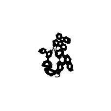 C1=CCCC(c2cc(-c3ccccc3)cc(N(C3=CC=C(c4ccc5ccccc5c4-c4ccc5c(c4)sc4ccccc45)CC3)c3cccc4c3C3=C(CCC=C3)C43c4ccccc4-c4ccccc43)c2)=C1